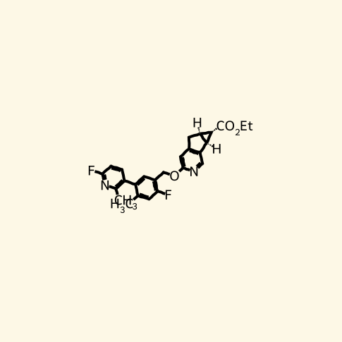 CCOC(=O)[C@H]1[C@@H]2Cc3cc(OCc4cc(-c5ccc(F)nc5C)c(C)cc4F)ncc3[C@@H]21